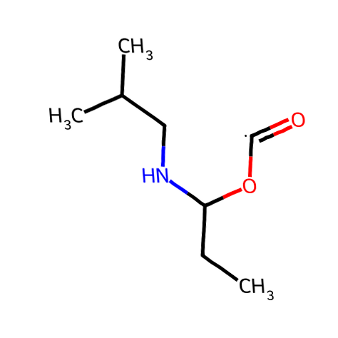 CCC(NCC(C)C)O[C]=O